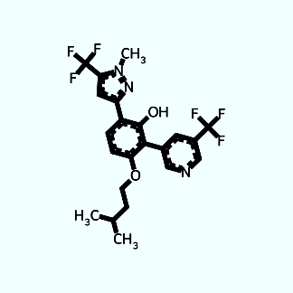 CC(C)CCOc1ccc(-c2cc(C(F)(F)F)n(C)n2)c(O)c1-c1cncc(C(F)(F)F)c1